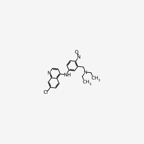 CCN(CC)Cc1cc(Nc2ccnc3cc(Cl)ccc23)ccc1N=O